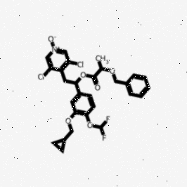 CC(OCc1ccccc1)C(=O)OC(Cc1c(Cl)c[n+]([O-])cc1Cl)c1ccc(OC(F)F)c(OCC2CC2)c1